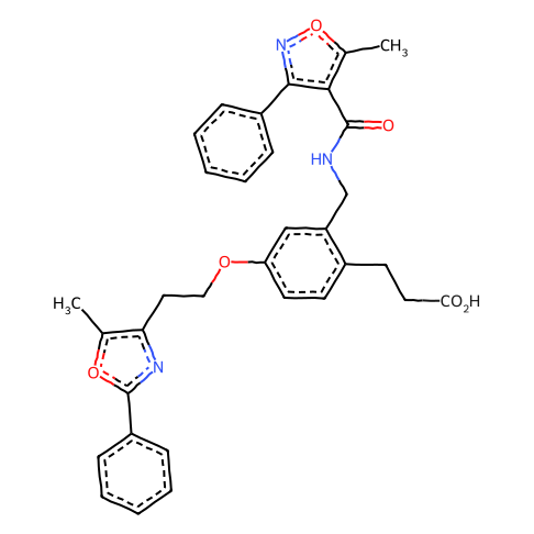 Cc1oc(-c2ccccc2)nc1CCOc1ccc(CCC(=O)O)c(CNC(=O)c2c(-c3ccccc3)noc2C)c1